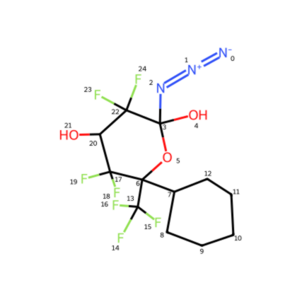 [N-]=[N+]=NC1(O)OC(C2CCCCC2)(C(F)(F)F)C(F)(F)C(O)C1(F)F